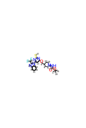 CSc1nc(OCC2CCN(NC(=O)OC(C)(C)C)CC2)cc(-n2c(C(F)F)nc3ccccc32)n1